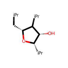 CC(C)C[C@H]1O[C@@H](C(C)C)[C@@H](O)C1C(C)C